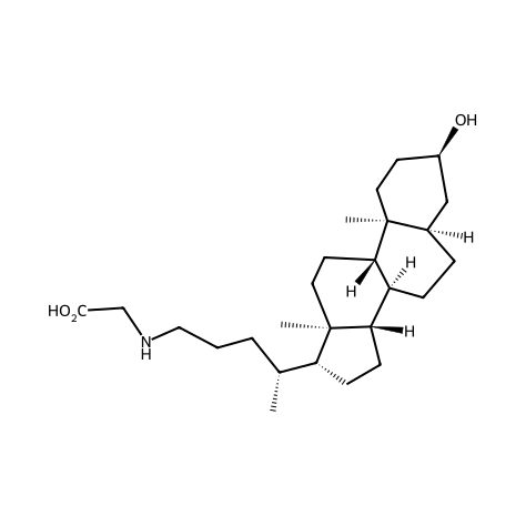 C[C@H](CCCNCC(=O)O)[C@H]1CC[C@H]2[C@@H]3CC[C@@H]4C[C@H](O)CC[C@]4(C)[C@H]3CC[C@]12C